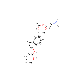 CC(=O)OC(COCCN(C)C)c1ccc2c(c1)CCC2OC1CCCCO1